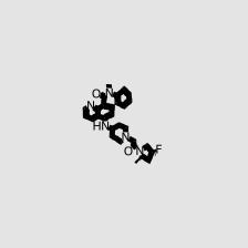 C[C@@H]1C[C@H](F)CN1C(=O)CN1CCC(Nc2ccc(C(=O)N(C)c3ccccc3)c3ncccc23)CC1